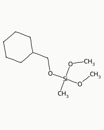 CO[Si](C)(OC)OCC1CCCCC1